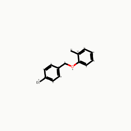 CCc1ccc(COc2ccccc2C)cc1